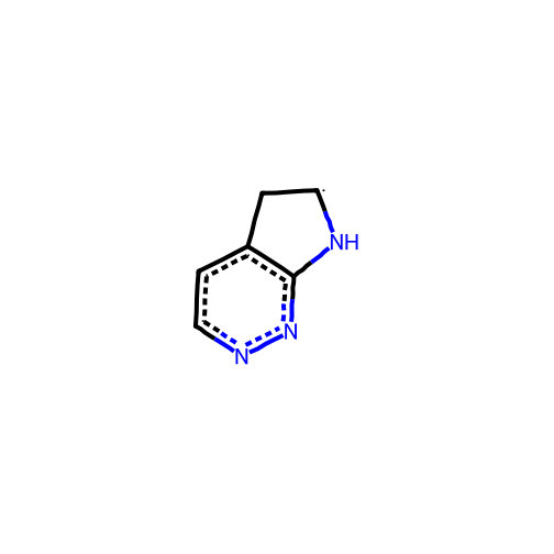 [CH]1Cc2ccnnc2N1